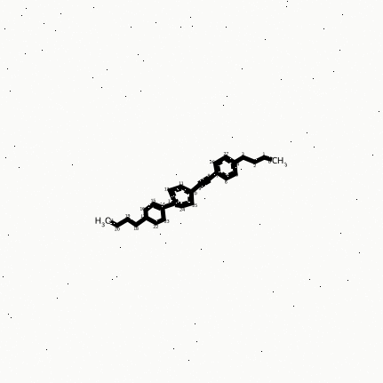 CCCCc1ccc(C#Cc2ccc(C3=CCC(CCCC)CC3)cc2)cc1